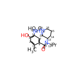 Cc1cc(O)c(N)cc1C(=O)N(C(C)C)[C@@H]1CCCN(C(=O)O)C1